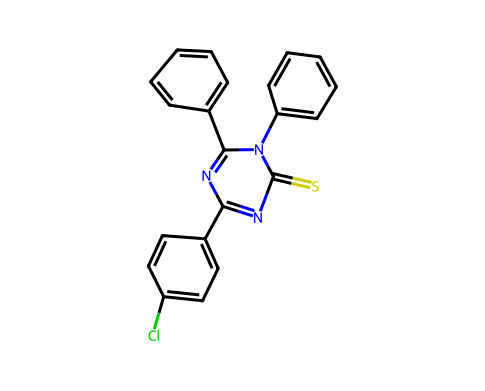 S=c1nc(-c2ccc(Cl)cc2)nc(-c2ccccc2)n1-c1ccccc1